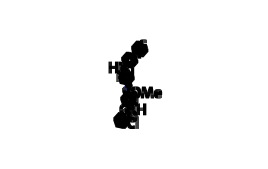 COc1nc(NS(=O)(=O)c2ccccc2Cl)ccc1/C=C/c1cnc(N[C@H]2CC[C@H](N3CCSCC3)CC2)nc1